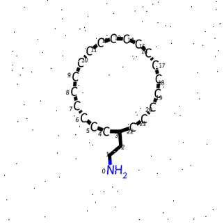 NCCC1CCCCCCCCCCCCCCCCCCC1